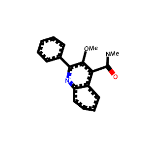 CNC(=O)c1c(OC)c(-c2ccccc2)nc2ccccc12